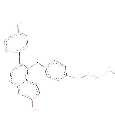 CCNCCOc1ccc(Cc2c(-c3ccc(O)cc3)ccc3cc(O)ccc23)cc1